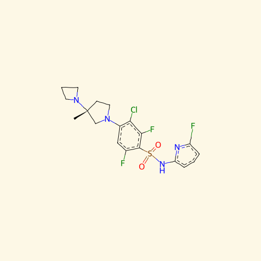 C[C@@]1(N2CCC2)CCN(c2cc(F)c(S(=O)(=O)Nc3cccc(F)n3)c(F)c2Cl)C1